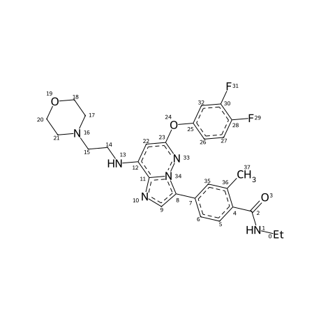 CCNC(=O)c1ccc(-c2cnc3c(NCCN4CCOCC4)cc(Oc4ccc(F)c(F)c4)nn23)cc1C